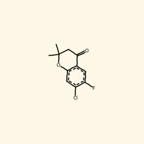 CC1(C)CC(=O)c2cc(F)c(Cl)cc2O1